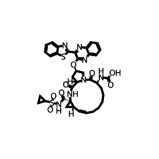 O=C(O)N[C@H]1CCCCC/C=C\[C@@H]2C[C@@]2(C(=O)NS(=O)(=O)C2CC2)NC(=O)[C@@H]2C[C@@H](Oc3nc4ccccc4nc3-c3nc4ccccc4s3)CN2C1=O